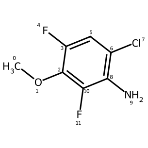 COc1c(F)cc(Cl)c(N)c1F